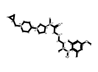 COc1cc(C)c([S+]([O-])N(C)CCOCC(=O)N(C)[C@H]2CCN(C3CCN(CC4CC4)CC3)C2)c(C)c1